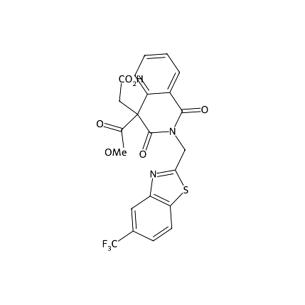 COC(=O)C1(CC(=O)O)C(=O)N(Cc2nc3cc(C(F)(F)F)ccc3s2)C(=O)c2ccccc21